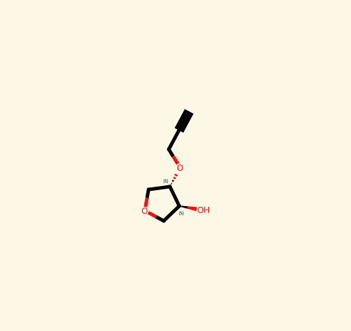 C#CCO[C@H]1COC[C@@H]1O